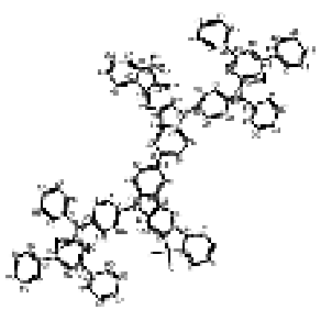 CC1(C)c2ccccc2-c2cc3c4cc(-c5ccc6c(c5)c5cc7c(cc5n6-c5ccc(N(c6ccccc6)c6nc(-c8ccccc8)cc(-c8ccccc8)n6)cc5)C(C)(C)c5ccccc5-7)ccc4n(-c4ccc(N(c5ccccc5)c5nc(-c6ccccc6)cc(-c6ccccc6)n5)cc4)c3cc21